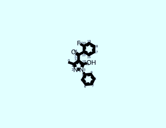 Cc1nn(-c2ccccc2)c(O)c1C(=O)c1ccccc1F